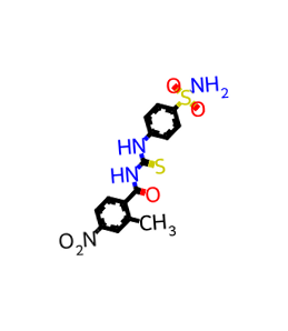 Cc1cc([N+](=O)[O-])ccc1C(=O)NC(=S)Nc1ccc(S(N)(=O)=O)cc1